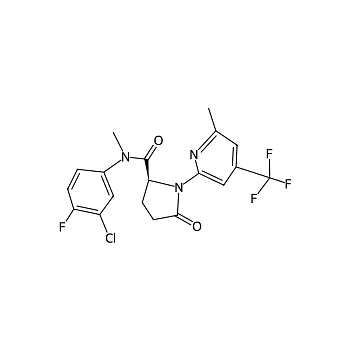 Cc1cc(C(F)(F)F)cc(N2C(=O)CC[C@H]2C(=O)N(C)c2ccc(F)c(Cl)c2)n1